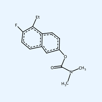 CCc1c(F)ccc2cc(OC(=O)N(C)C)ccc12